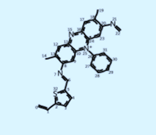 C=Cc1ccc(C=Nc2cc3c(cc2C)nc2cc(C)c(N=C)cc2[n+]3-c2ccccc2)s1